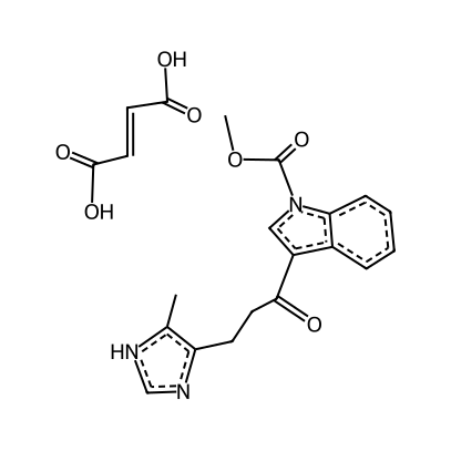 COC(=O)n1cc(C(=O)CCc2nc[nH]c2C)c2ccccc21.O=C(O)C=CC(=O)O